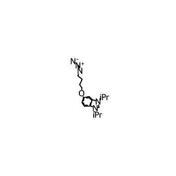 CC(C)N1CN(C(C)C)c2cc(OCCCCN=[N+]=[N-])ccc21